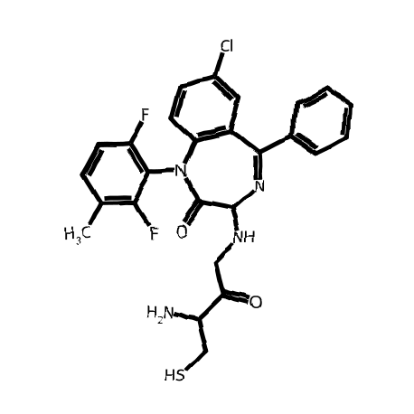 Cc1ccc(F)c(N2C(=O)C(NCC(=O)C(N)CS)N=C(c3ccccc3)c3cc(Cl)ccc32)c1F